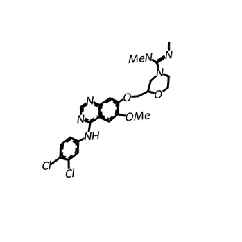 C/N=C(\NC)N1CCOC(COc2cc3ncnc(Nc4ccc(Cl)c(Cl)c4)c3cc2OC)C1